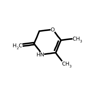 C=C1COC(C)=C(C)N1